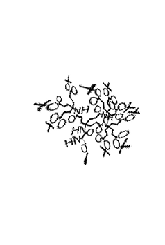 C#CCOC[C@H](NC)C(=O)NC(CCC(=O)NC(CCC(=O)OC(C)(C)C)(CCC(=O)OC(C)(C)C)CCC(=O)OC(C)(C)C)(CCC(=O)NC(CCC(=O)OC(C)(C)C)(CCC(=O)OC(C)(C)C)CCC(=O)OC(C)(C)C)CCC(=O)NC(CCC(=O)OC(C)(C)C)(CCC(=O)OC(C)(C)C)CCC(=O)OC(C)(C)C